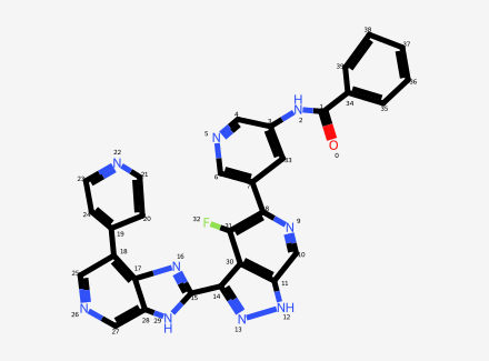 O=C(Nc1cncc(-c2ncc3[nH]nc(-c4nc5c(-c6ccncc6)cncc5[nH]4)c3c2F)c1)c1ccccc1